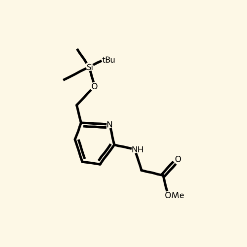 COC(=O)CNc1cccc(CO[Si](C)(C)C(C)(C)C)n1